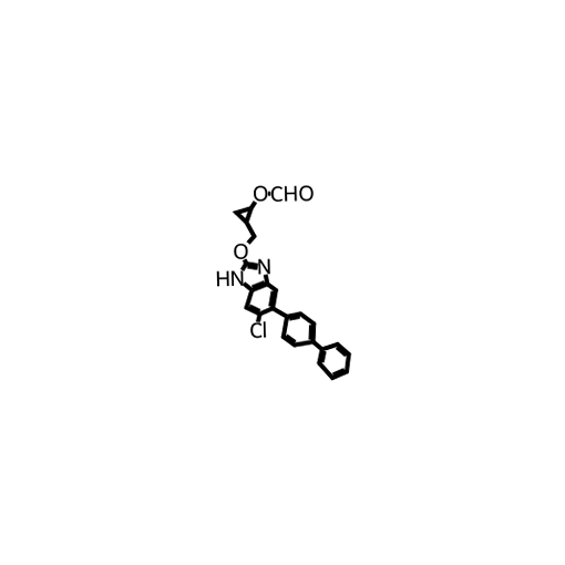 O=COC1CC1COc1nc2cc(-c3ccc(-c4ccccc4)cc3)c(Cl)cc2[nH]1